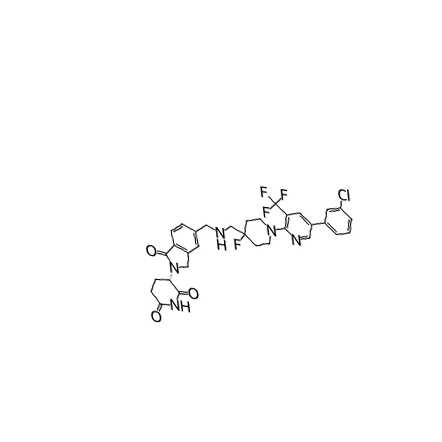 O=C1CC[C@H](N2Cc3cc(CNCC4(F)CCN(c5ncc(-c6cccc(Cl)c6)cc5C(F)(F)F)CC4)ccc3C2=O)C(=O)N1